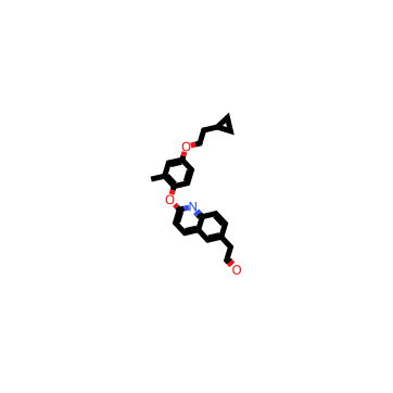 Cc1cc(OCCC2CC2)ccc1Oc1ccc2cc(CC=O)ccc2n1